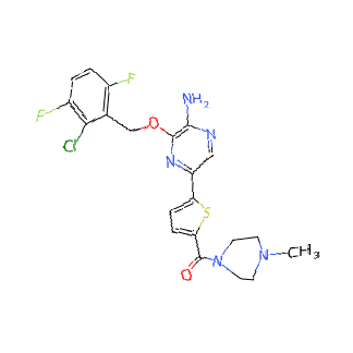 CN1CCN(C(=O)c2ccc(-c3cnc(N)c(OCc4c(F)ccc(F)c4Cl)n3)s2)CC1